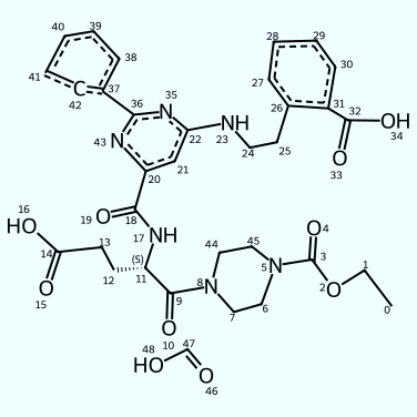 CCOC(=O)N1CCN(C(=O)[C@H](CCC(=O)O)NC(=O)c2cc(NCCc3ccccc3C(=O)O)nc(-c3ccccc3)n2)CC1.O=CO